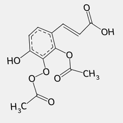 CC(=O)OOc1c(O)ccc(C=CC(=O)O)c1OC(C)=O